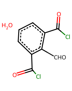 O.O=Cc1c(C(=O)Cl)cccc1C(=O)Cl